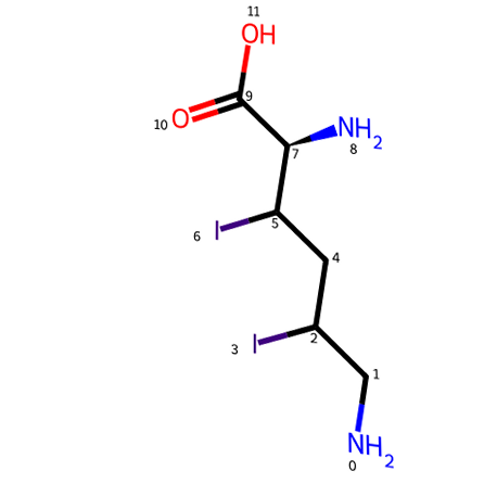 NCC(I)CC(I)[C@H](N)C(=O)O